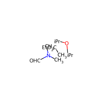 CC(C)OC(C)C.CCOC(C)=O.CN(C)C=O